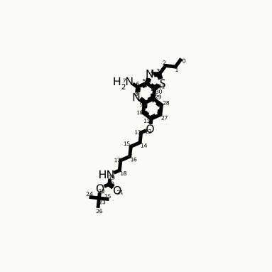 CCCc1nc2c(N)nc3cc(OCCCCCCNC(=O)OC(C)(C)C)ccc3c2s1